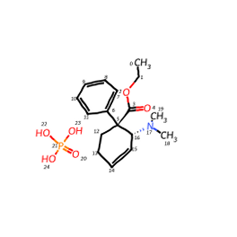 CCOC(=O)[C@]1(c2ccccc2)CCC=C[C@H]1N(C)C.O=P(O)(O)O